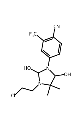 CC1(C)C(O)N(c2ccc(C#N)c(C(F)(F)F)c2)C(O)N1CCCl